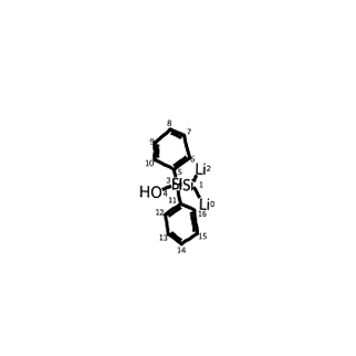 [Li][SiH]([Li])[Si](O)(c1ccccc1)c1ccccc1